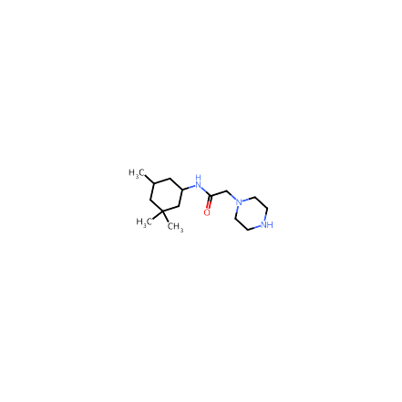 CC1CC(NC(=O)CN2CCNCC2)CC(C)(C)C1